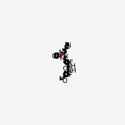 CN1CC(c2cnc3c(N4CCOCC4)nc(-c4ccc(NC(=O)Nc5ccc(C(=O)N(C)C)cc5F)c(F)c4)nc3c2)C=N1